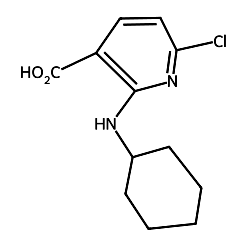 O=C(O)c1ccc(Cl)nc1NC1CCCCC1